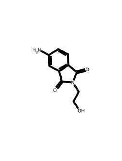 Nc1ccc2c(c1)C(=O)N(CCO)C2=O